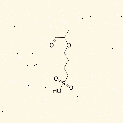 CC(C=O)OCCCCS(=O)(=O)O